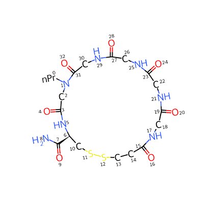 CCCN1CC(=O)N[C@H](C(N)=O)CSSCCC(=O)NCC(=O)NCC(=O)NCC(=O)NCC1=O